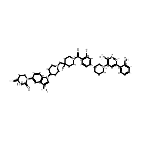 Cc1cn(C2CCN(CC3(F)CCN(C(=O)c4ccc([C@H]5CCCN(c6cc(-c7ccccc7O)nnc6N)C5)cc4F)CC3)CC2)c2ccc(N3CCC(=O)NC3=O)cc12